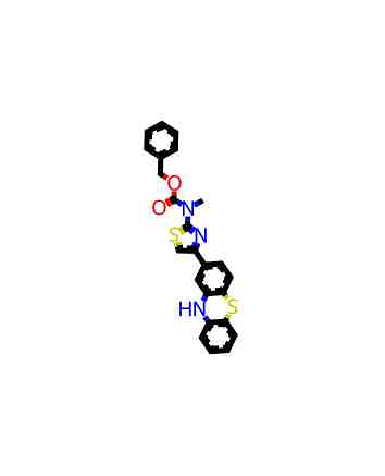 CN(C(=O)OCc1ccccc1)c1nc(-c2ccc3c(c2)Nc2ccccc2S3)cs1